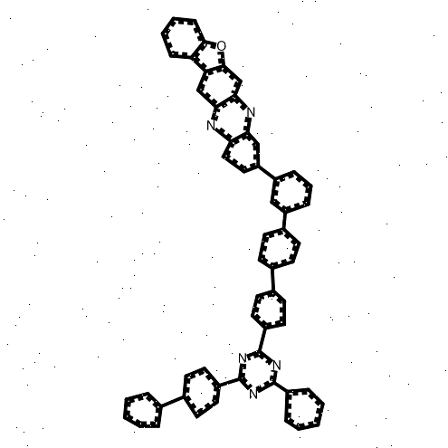 c1ccc(-c2ccc(-c3nc(-c4ccccc4)nc(-c4ccc(-c5ccc(-c6cccc(-c7ccc8nc9cc%10c(cc9nc8c7)oc7ccccc7%10)c6)cc5)cc4)n3)cc2)cc1